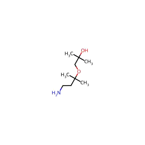 CC(C)(O)COC(C)(C)CCN